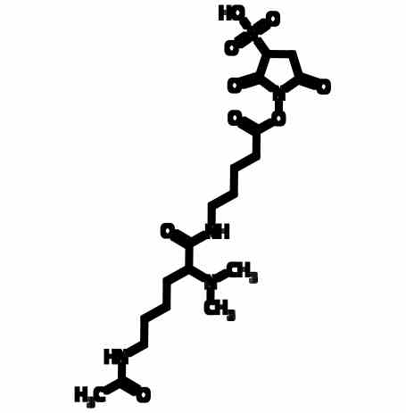 CC(=O)NCCCCC(C(=O)NCCCCC(=O)ON1C(=O)CC(S(=O)(=O)O)C1=O)N(C)C